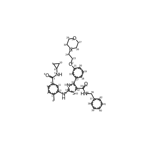 Cc1ccc(C(=O)NC2CC2)cc1Nc1nc(-c2cccc(OCCN3CCOCC3)c2)c(C(=O)NCc2ccccc2)s1